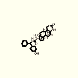 C[C@]12CC[C@H]3[C@@H](CC=C4NC(=O)CC[C@@]43C)[C@@H]1CC[C@@H]2OC(=O)NC(c1ccccc1)c1ccc(O)cc1